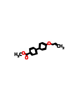 C=CCOc1ccc(-c2ccc(C(=O)OC)cc2)cc1